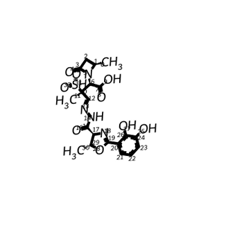 C[C@@H]1CC(=O)N1[C@@H](C(=O)O)[C@](C)(/C=N/NC(=O)[C@H]1N=C(c2cccc(O)c2O)O[C@@H]1C)[SH](=O)=O